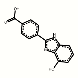 O=C(O)c1ccc(-c2nc3c(O)cccc3[nH]2)cc1